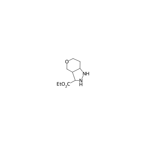 CCOC(=O)C1NNC2CCOCC21